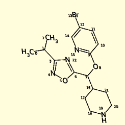 CC(C)c1noc(C(Oc2ccc(Br)cn2)C2CCNCC2)n1